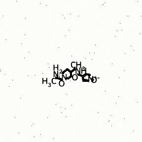 CC(NC(=O)c1cc[n+]([O-])cc1)C1CCN(C(=O)[C@H](C)N)CC1